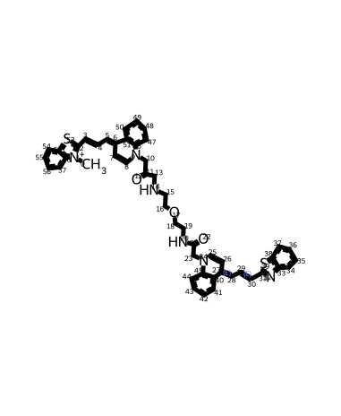 C[n+]1c(C=CC=C2C=CN(CC(=O)CNCCOCCNC(=O)CN3C=C/C(=C\C=C\c4nc5ccccc5s4)c4ccccc43)c3ccccc32)sc2ccccc21